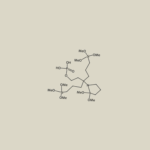 COC1(OC)CCCN1C(CCC[Si](OC)(OC)OC)(CCC[Si](OC)(OC)OC)CCOP(=O)(O)O